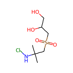 CC(C)(CS(=O)(=O)CC(O)CO)NCl